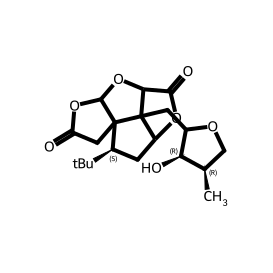 C[C@@H]1COC(CC23C4C[C@@H](C(C)(C)C)C25CC(=O)OC5OC3C(=O)O4)[C@@H]1O